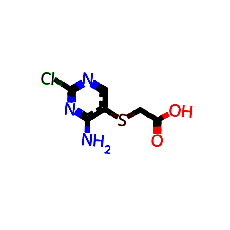 Nc1nc(Cl)ncc1SCC(=O)O